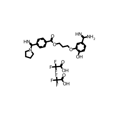 N=C(N)c1ccc(O)c(OCCCOC(=O)c2ccc(C(=N)N3CCCC3)cc2)c1.O=C(O)C(F)(F)F.O=C(O)C(F)(F)F